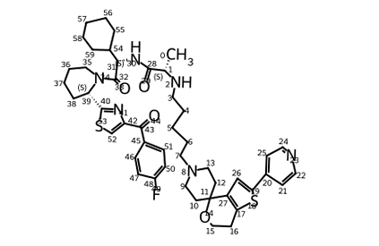 C[C@H](NCCCCCN1CCC2(CC1)OCCc1sc(-c3ccncc3)cc12)C(=O)N[C@H](C(=O)N1CCCC[C@H]1c1nc(C(=O)c2ccc(F)cc2)cs1)C1CCCCC1